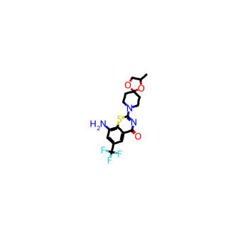 CC1COC2(CCN(c3nc(=O)c4cc(C(F)(F)F)cc(N)c4s3)CC2)O1